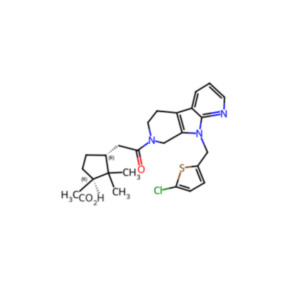 CC1(C)[C@@H](CC(=O)N2CCc3c(n(Cc4ccc(Cl)s4)c4ncccc34)C2)CC[C@@]1(C)C(=O)O